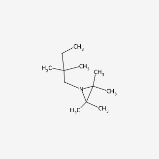 CCC(C)(C)CN1C(C)(C)C1(C)C